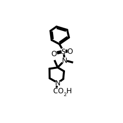 CN(C1(C)CCN(C(=O)O)CC1)S(=O)(=O)c1ccccc1